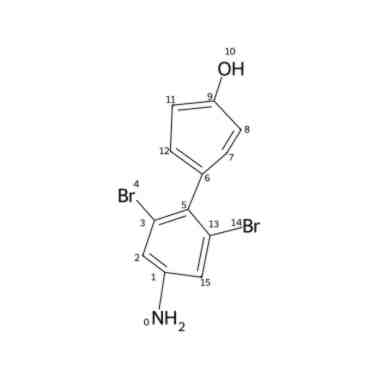 Nc1cc(Br)c(-c2ccc(O)cc2)c(Br)c1